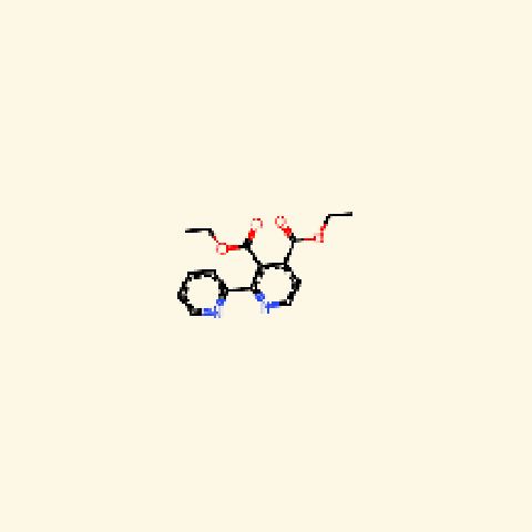 CCOC(=O)c1ccnc(-c2ccccn2)c1C(=O)OCC